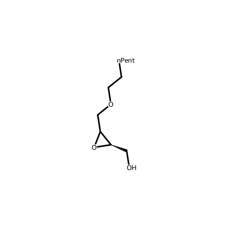 CCCCCCCOCC1O[C@@H]1CO